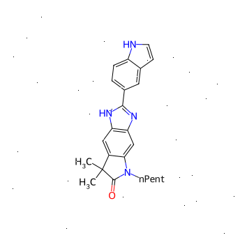 CCCCCN1C(=O)C(C)(C)c2cc3[nH]c(-c4ccc5[nH]ccc5c4)nc3cc21